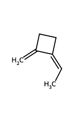 C=C1CC/C1=C/C